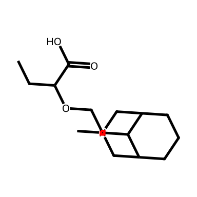 CCC(OCCC1C2CCCC1CN(C)C2)C(=O)O